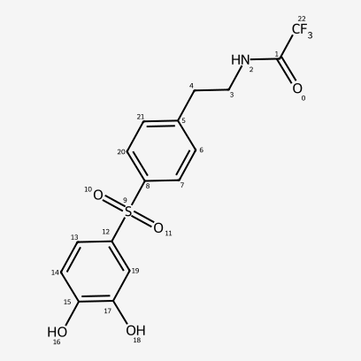 O=C(NCCc1ccc(S(=O)(=O)c2ccc(O)c(O)c2)cc1)C(F)(F)F